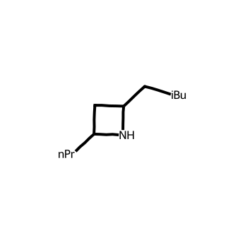 CCCC1CC(CC(C)CC)N1